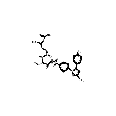 Cc1ccc(-c2cc(C(F)(F)F)nn2-c2ccc(S(=O)(=O)NC(=O)[C@H](CC(C)C)N(C)/[N+]([O-])=N\OC(C)OC(=O)C(C)(C)C)cc2)cc1